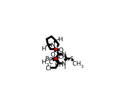 CSc1nc(CCl)c(Br)c(N2C[C@H]3CC[C@@H](C2)N3C(=O)OC(C)(C)C)n1